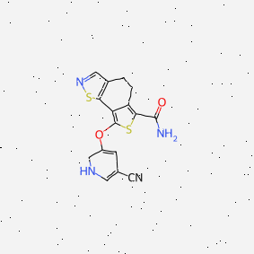 N#CC1=CNCC(Oc2sc(C(N)=O)c3c2-c2sncc2CC3)=C1